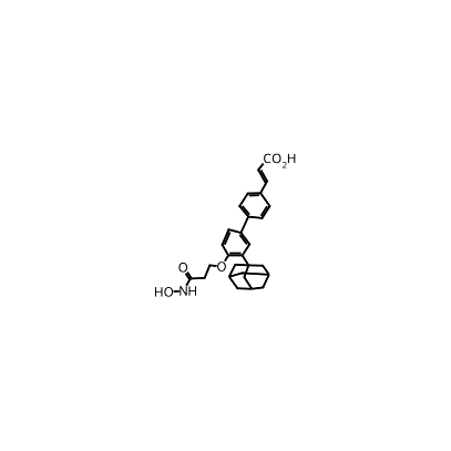 O=C(O)/C=C/c1ccc(-c2ccc(OCCC(=O)NO)c(C34CC5CC(CC(C5)C3)C4)c2)cc1